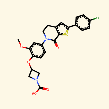 COc1cc(N2CCc3cc(-c4ccc(Cl)cc4)sc3C2=O)ccc1OC1CN(C(=O)O)C1